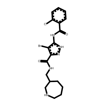 O=C(Nc1[nH]nc(C(=O)NCC2CCCCNC2)c1Br)c1ccccc1Cl